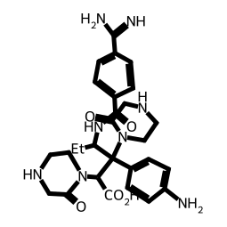 CCC(NC(=O)c1ccc(C(=N)N)cc1)C(c1ccc(N)cc1)(C(C(=O)O)N1CCNCC1=O)N1CCNCC1=O